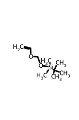 C=COCO[Si](C)(C)C(C)(C)C